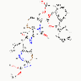 CNC(=O)OCC1=C(C(=O)OC(c2ccccc2)c2ccccc2)N2C(=O)[C@@H](NC(=O)/C(=C/C(C)C)c3csc(NC(=O)OC(C)(C)C)n3)[C@H]2SC1